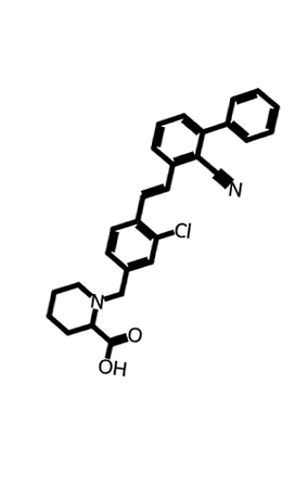 N#Cc1c(C=Cc2ccc(CN3CCCCC3C(=O)O)cc2Cl)cccc1-c1ccccc1